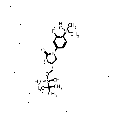 CC(C)(C)[Si](C)(C)OC[C@H]1CN(c2cc[c]([Sn]([CH3])([CH3])[CH3])c(F)c2)C(=O)O1